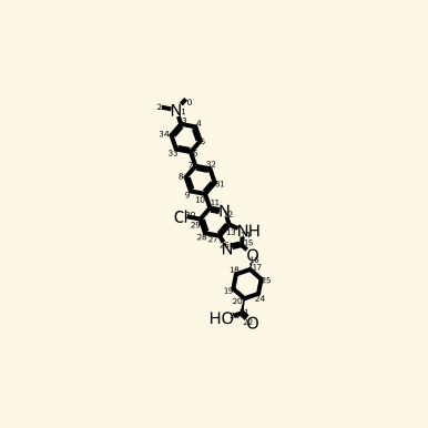 CN(C)c1ccc(-c2ccc(-c3nc4[nH]c(O[C@H]5CC[C@H](C(=O)O)CC5)nc4cc3Cl)cc2)cc1